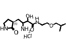 CC(C)COCCNC(=O)C(O)C(N)C[C@@H]1CCNC1=O.Cl